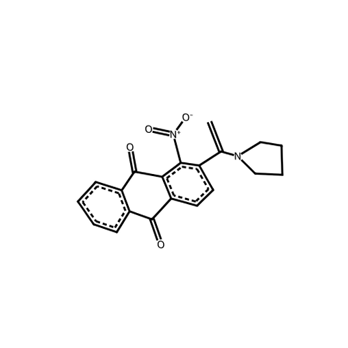 C=C(c1ccc2c(c1[N+](=O)[O-])C(=O)c1ccccc1C2=O)N1CCCC1